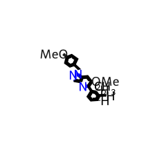 [2H]C([2H])([2H])c1cccc(-c2nc3cnn(Cc4ccc(OC)cc4)c3cc2OC)c1C